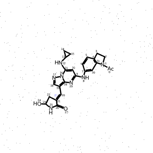 CC(=O)N1CCc2ccc(Nc3cc(NC4CC4)n4ncc(/C=C5\CC(O)NC5=O)c4n3)cc21